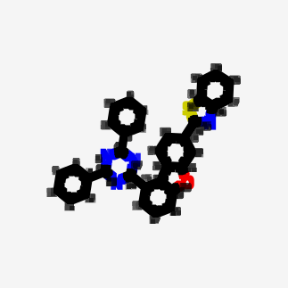 c1ccc(-c2nc(-c3ccccc3)nc(-c3cccc4oc5cc(-c6nc7ccccc7s6)ccc5c34)n2)cc1